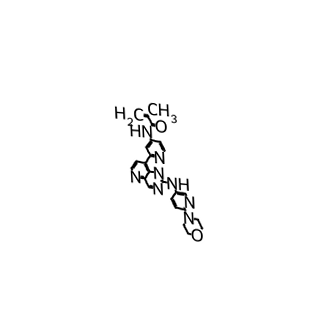 C=C(C)C(=O)Nc1ccnc(-c2ccnc3cnc(Nc4ccc(N5CCOCC5)nc4)nc23)c1